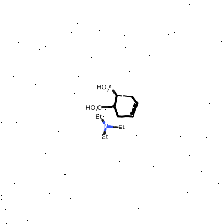 CCN(CC)CC.O=C(O)C1CC=CCC1C(=O)O